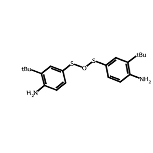 CC(C)(C)c1cc(SOSc2ccc(N)c(C(C)(C)C)c2)ccc1N